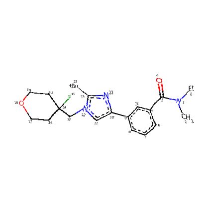 CCN(C)C(=O)c1cccc(-c2cn(CC3(F)CCOCC3)c(C(C)(C)C)n2)c1